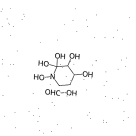 O=CO.OC1CCN(O)C(O)(O)C1O